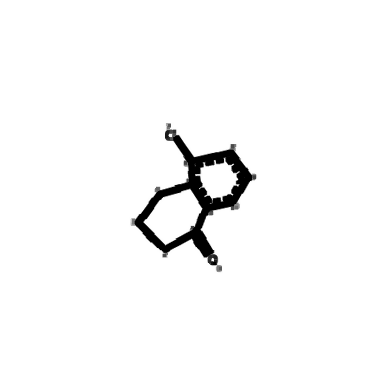 O=C1CCCc2c(Cl)cccc21